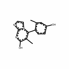 Cc1cc(O)ccc1-c1c(C)c(O)nc2nccn12